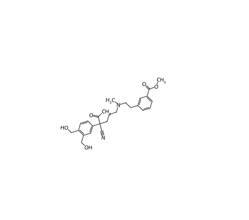 COC(=O)c1cccc(CCN(C)CCCC(C#N)(C(C)=O)c2ccc(CO)c(CO)c2)c1